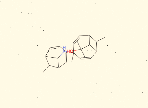 CC1C2C=CC=CC1C2NC1(C)/C=C\C2C(C)C(/C=C\1)C2C(C)(C)O